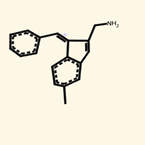 Cc1ccc2c(c1)C=C(CN)/C2=C/c1ccccc1